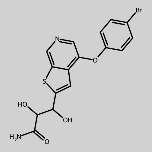 NC(=O)C(O)C(O)c1cc2c(Oc3ccc(Br)cc3)cncc2s1